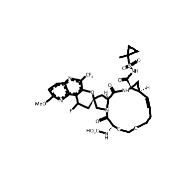 COc1ccc2nc(C(F)(F)F)c3c(c2n1)C(F)C[C@]1(C[C@H]2C(=O)N[C@]4(C(=O)NS(=O)(=O)C5(C)CC5)C[C@H]4/C=C\CCCCC[C@H](NC(=O)O)C(=O)N2C1)O3